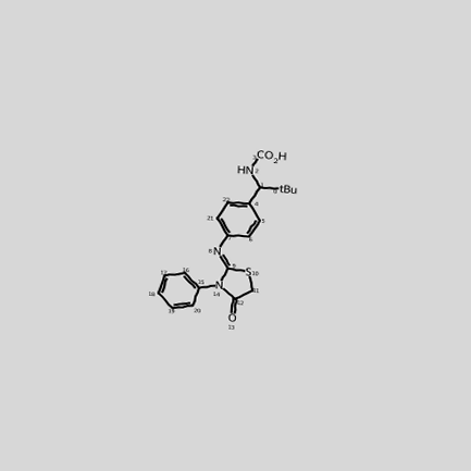 CC(C)(C)C(NC(=O)O)c1ccc(N=C2SCC(=O)N2c2ccccc2)cc1